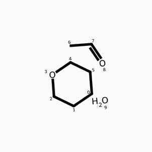 C1CCOCC1.CC=O.O